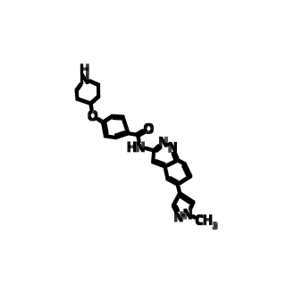 Cn1cc(-c2ccc3nnc(NC(=O)c4ccc(OC5CCNCC5)cc4)cc3c2)cn1